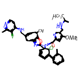 COc1cc(C(=O)NC2(c3nc4cc(CNc5ccnc(C)c5F)cc(C#N)c4o3)C=CC=C(c3ccccc3C)C2Cl)ncc1CNC(C)C(=O)O